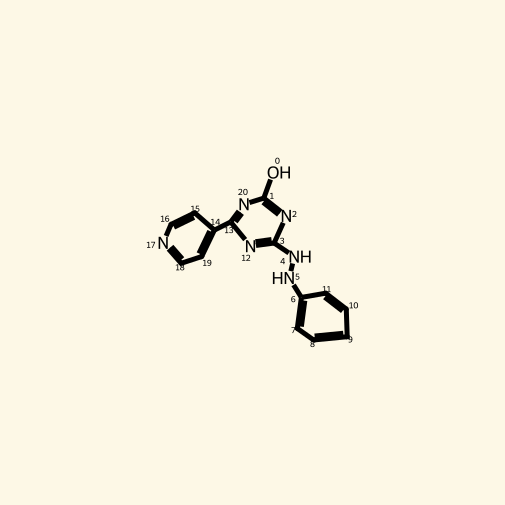 Oc1nc(NNc2ccccc2)nc(-c2ccncc2)n1